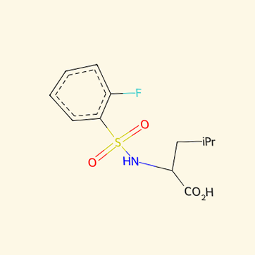 CC(C)CC(NS(=O)(=O)c1ccccc1F)C(=O)O